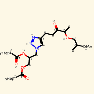 CCCCCCCC(=O)OCC(Cn1cc(CCC(=O)C(C)OCC(C)OC)nn1)OC(=O)CCCCCCC